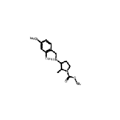 COc1ccc(CNC2CCN(C(=O)OC(C)(C)C)C2C)c(OC)c1